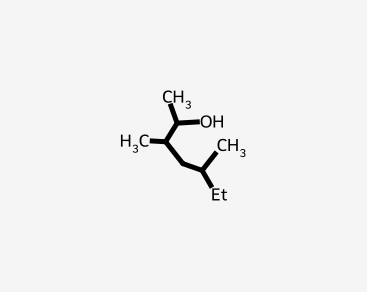 CCC(C)CC(C)C(C)O